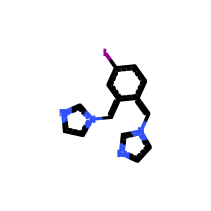 Ic1ccc(=Cn2ccnc2)c(=Cn2ccnc2)c1